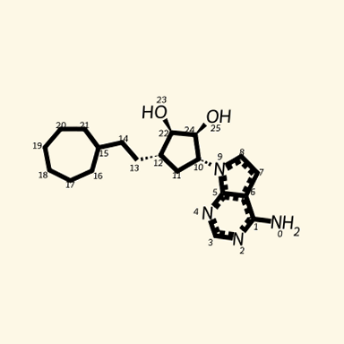 Nc1ncnc2c1ccn2[C@@H]1C[C@H](CCC2CCCCCC2)[C@@H](O)[C@H]1O